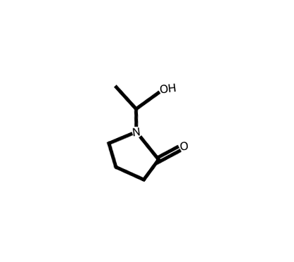 CC(O)N1CCCC1=O